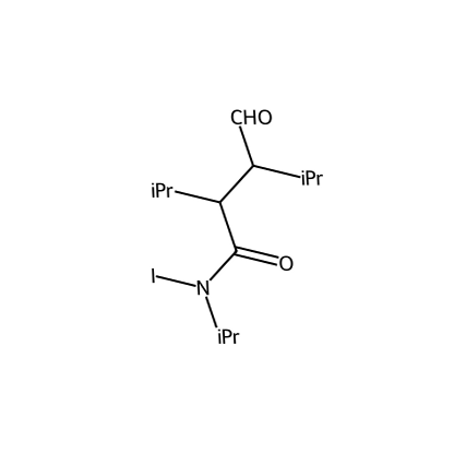 CC(C)C(C=O)C(C(=O)N(I)C(C)C)C(C)C